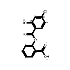 O=C(Oc1ccccc1C(=O)O)c1ccc(Cl)cc1O